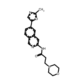 Cc1ncc(-c2ccc3cnc(NC(=O)CCN4CCOCC4)cc3c2)o1